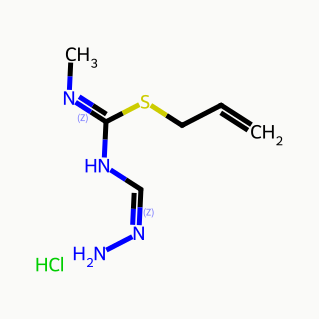 C=CCS/C(=N\C)N/C=N\N.Cl